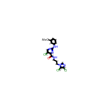 COc1cccc(Nc2ncc(Cl)c(C(=O)NCCCn3cnc(Cl)c3Cl)n2)c1